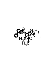 CCOC(=O)N1c2cc(OC)c(OC)cc2C(CNC(=O)c2cccc(-c3ccccc3)c2F)CC1C